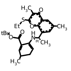 CCSc1oc2c([C@@H](C)NC3=CCC(C)C=C3C(=O)OC(C)(C)C)cc(C)cc2c(=O)c1C